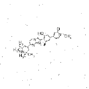 CCn1ccc(-c2cc(O)c(-c3cn4ccc(C5=CC(C)(C)NC(C)(C)C5)nc4n3)c(F)c2)cc1=O